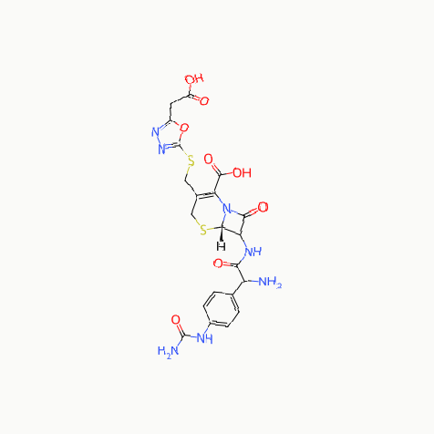 NC(=O)Nc1ccc(C(N)C(=O)NC2C(=O)N3C(C(=O)O)=C(CSc4nnc(CC(=O)O)o4)CS[C@@H]23)cc1